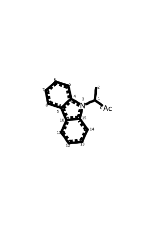 CC(=O)C(C)n1c2ccccc2c2ccccc21